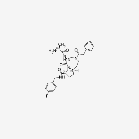 C[C@H](N)C(=O)N[C@H]1CN(C(=O)Cc2ccccc2)CC[C@H]2CC[C@@H](C(=O)NCc3ccc(F)cc3)N2C1=O